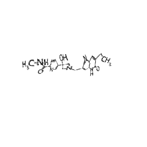 CCc1cc2ncc(CN3CC(O)(c4ccc(C(=O)NC)nc4)C3)cc2[nH]c1=O